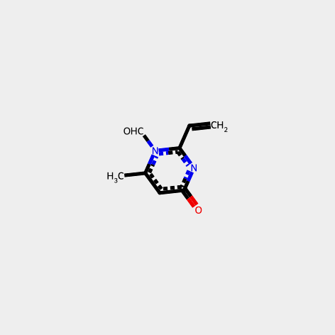 C=Cc1nc(=O)cc(C)n1C=O